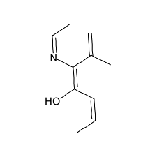 C=C(C)C(/N=C\C)=C(O)\C=C/C